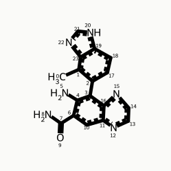 Cc1c(-c2c(N)c(C(N)=O)cc3nccnc23)ccc2[nH]cnc12